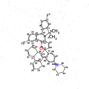 CC1(C)c2cc(F)ccc2-c2c1c1c(c3cc(F)ccc23)OC(C2=CC3=C(C=CCC3)C3C=CC=CC23)(c2ccc(N3CCCCC3)cc2)C=C1